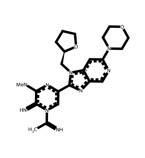 CNc1nc(-c2nc3cnc(N4CCOCC4)cc3n2C[C@H]2CCCO2)cn(C(C)=N)c1=N